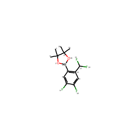 CC1(C)OB(c2cc(F)c(F)cc2C(F)F)OC1(C)C